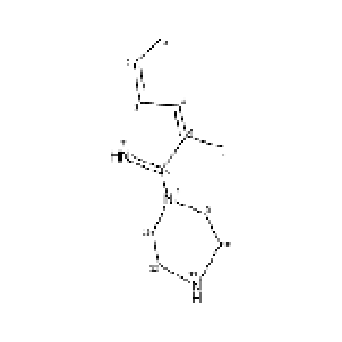 C/C=C\C=C(\C)C(=N)N1CCNCC1